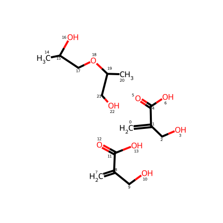 C=C(CO)C(=O)O.C=C(CO)C(=O)O.CC(O)COC(C)CO